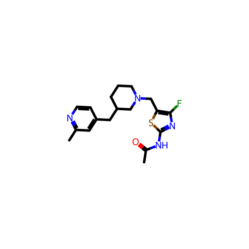 CC(=O)Nc1nc(F)c(CN2CCCC(Cc3ccnc(C)c3)C2)s1